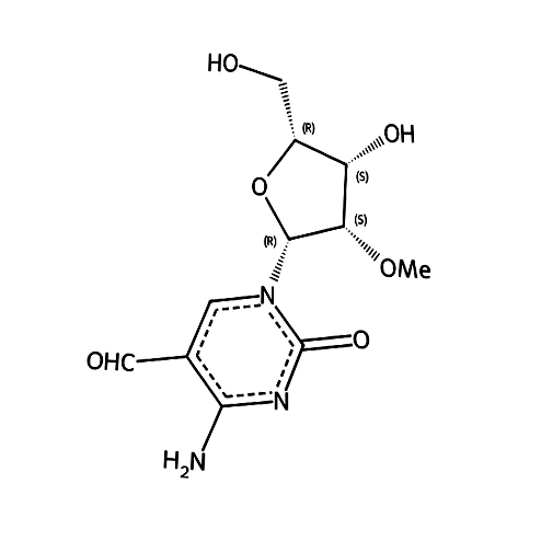 CO[C@H]1[C@@H](O)[C@@H](CO)O[C@H]1n1cc(C=O)c(N)nc1=O